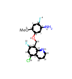 COc1cc(F)c(N)cc1OCc1c(F)cc(Cl)c2cccnc12